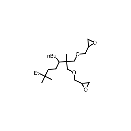 CCCCC(CCC(C)(C)CC)C(C)(COCC1CO1)COCC1CO1